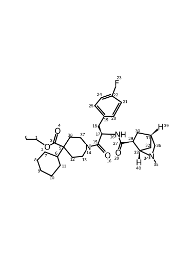 CCOC(=O)C1(C2CCCCC2)CCN(C(=O)[C@@H](Cc2ccc(F)cc2)NC(=O)[C@H]2C[C@H]3C[C@@H]2N(C)C3)CC1